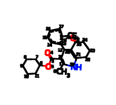 CC1=C(C(=O)OC2CCCCC2)C(c2ccccc2C(F)(F)F)C2=C(CCCC2=O)N1